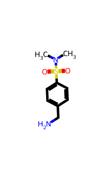 CN(C)S(=O)(=O)c1ccc(CN)cc1